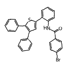 O=C(Nc1ccccc1-c1cc(-c2ccccc2)c(-c2ccccc2)s1)c1ccc(Br)cc1